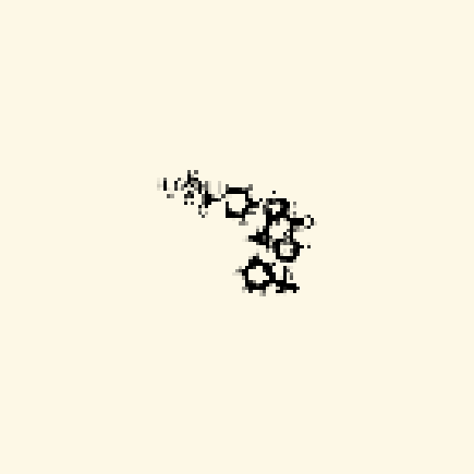 CS(=O)(=O)NC(=O)N1CCC(n2ncc(C(=O)N3CC[C@@H](c4ccccc4C(F)(F)F)C3)c2C2CC2)CC1